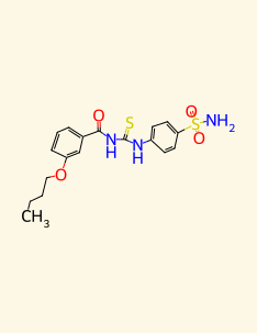 CCCCOc1cccc(C(=O)NC(=S)Nc2ccc(S(N)(=O)=O)cc2)c1